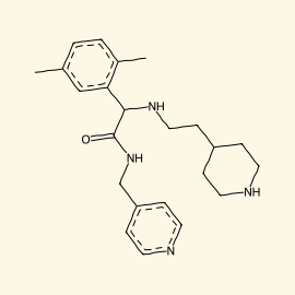 Cc1ccc(C)c(C(NCCC2CCNCC2)C(=O)NCc2ccncc2)c1